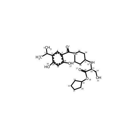 CC(C)c1cc(C(=O)N2CCC(N[C@@H](CO)C(=O)OC3CCCC3)CC2)c(O)cc1O